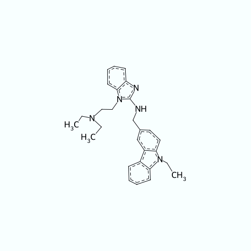 CCN(CC)CCn1c(NCc2ccc3c(c2)c2ccccc2n3CC)nc2ccccc21